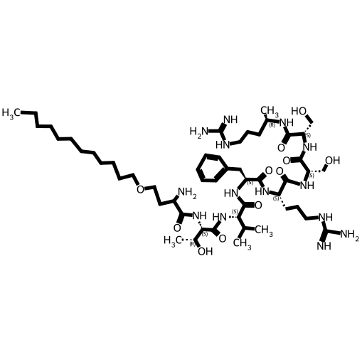 CCCCCCCCCCCCOCCC(N)C(=O)N[C@H](C(=O)N[C@H](C(=O)N[C@@H](Cc1ccccc1)C(=O)N[C@@H](CCCNC(=N)N)C(=O)N[C@@H](CO)C(=O)N[C@@H](CO)C(=O)N[C@H](C)CCCNC(=N)N)C(C)C)[C@@H](C)O